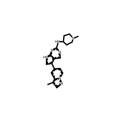 Cc1cnn2ccc(-c3c[nH]c4nc(NC5CCN(C)CC5)ncc34)cc12